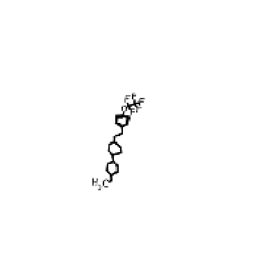 CCC1CCC(C2CCC(CCc3ccc(OC(F)(F)C(F)(F)F)cc3)CC2)CC1